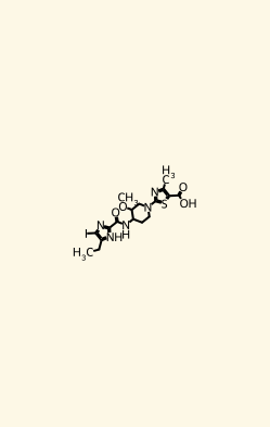 CCc1[nH]c(C(=O)NC2CCN(c3nc(C)c(C(=O)O)s3)CC2OC)nc1I